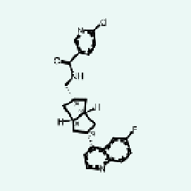 O=C(NC[C@@H]1C[C@@H]2C[C@H](c3ccnc4ccc(F)cc34)C[C@@H]2C1)c1ccc(Cl)nc1